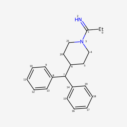 CCC(=N)N1CCC(C(c2ccccc2)c2ccccc2)CC1